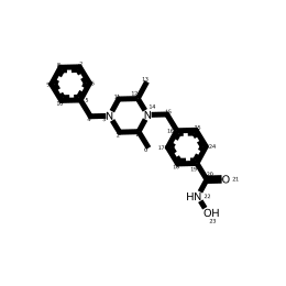 CC1CN(Cc2ccccc2)CC(C)N1Cc1ccc(C(=O)NO)cc1